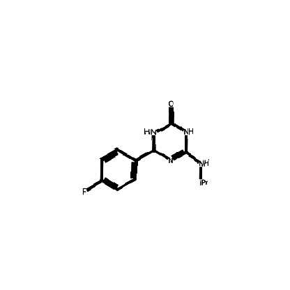 CC(C)NC1=NC(c2ccc(F)cc2)NC(=O)N1